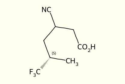 C[C@@H](CC(C#N)CC(=O)O)C(F)(F)F